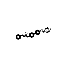 O=C(CCc1ccccc1)Cc1ccc(-c2ccc(OCN3CCOCC3)cc2)cc1